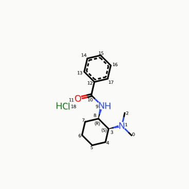 CN(C)[C@H]1CCCC[C@H]1NC(=O)c1ccccc1.Cl